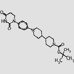 CC(C)(C)OC(=O)N1CCC(C2CCN(c3ccc(N4CCC(=O)NC4=O)cc3)CC2)CC1